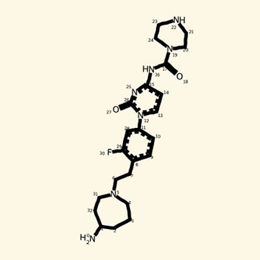 NC1CCCN(CCc2ccc(-n3ccc(NC(=O)N4CCNCC4)nc3=O)cc2F)CC1